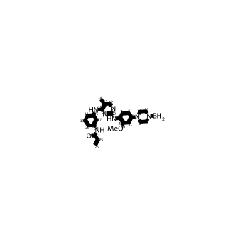 BN1CCN(c2ccc(Nc3ncc(C)c(Nc4cccc(NC(=O)C=C)c4)n3)c(OC)c2)CC1